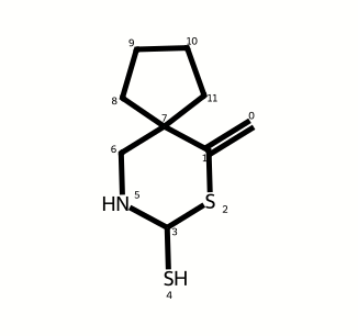 C=C1SC(S)NCC12CCCC2